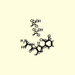 CS(=O)(=O)O.CS(=O)(=O)O.Cc1nc(-c2cccc(Cl)c2Cl)[nH]c1C(=O)NC(=N)N